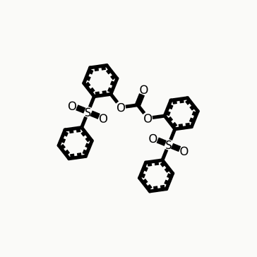 O=C(Oc1ccccc1S(=O)(=O)c1ccccc1)Oc1ccccc1S(=O)(=O)c1ccccc1